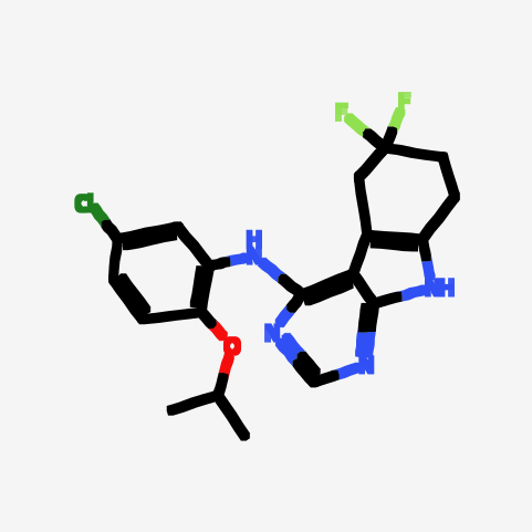 CC(C)Oc1ccc(Cl)cc1Nc1ncnc2[nH]c3c(c12)CC(F)(F)CC3